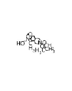 Cc1c2c(cc3c1N(CCO)CCO3)CCN(C(=O)OC(C)(C)C)CC2